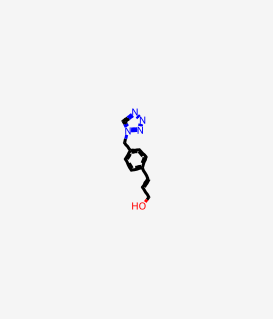 OCC=Cc1ccc(Cn2cnnn2)cc1